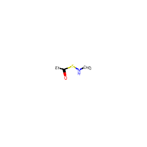 CCC(=O)SNC=O